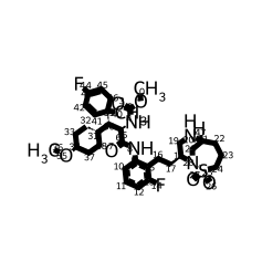 COC(=O)N[C@H](C(=O)Nc1cccc(F)c1CC[C@H]1CN[C@@H]2CCCS(=O)(=O)N1C2)[C@H]([C@H]1CC[C@H](OC)CC1)C1(C)C=CC(F)=CC1